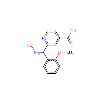 COc1ccccc1/C(=N/O)c1cc(C(=O)O)ccn1